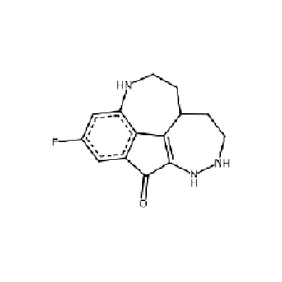 O=C1C2=C3c4c(cc(F)cc41)NCCC3CCNN2